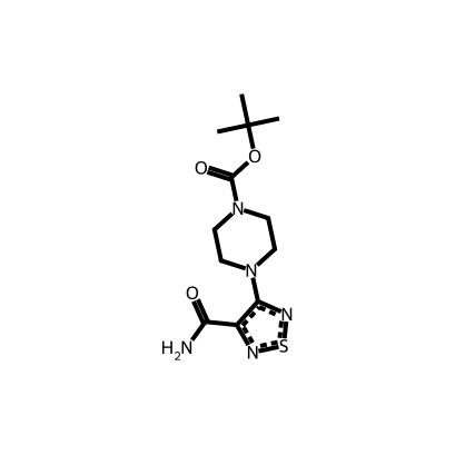 CC(C)(C)OC(=O)N1CCN(c2nsnc2C(N)=O)CC1